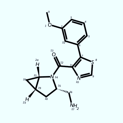 COc1cccc(-c2scnc2C(=O)N2[C@H](CN)C[C@@H]3C[C@@H]32)c1